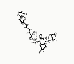 O=C(O)C(c1cc(F)ccc1COC1COC1)N1CC[C@@H](C(F)(P)CCCCc2ccc3c(n2)NCCC3)C1